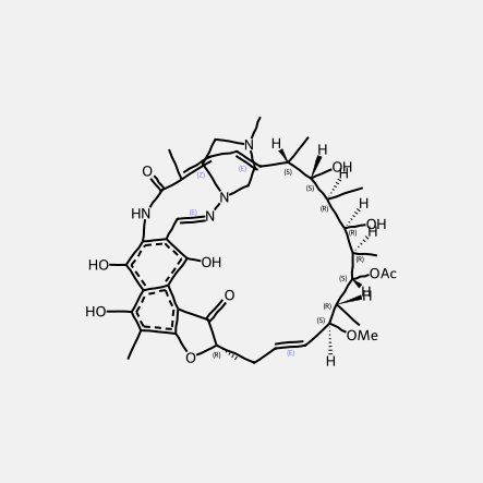 CO[C@H]1/C=C/C[C@@]2(C)Oc3c(C)c(O)c4c(O)c(c(/C=N/N5CCN(C)CC5)c(O)c4c3C2=O)NC(=O)/C(C)=C\C=C\[C@H](C)[C@H](O)[C@@H](C)[C@@H](O)[C@@H](C)[C@H](OC(C)=O)[C@@H]1C